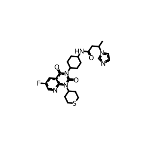 CC(CC(=O)NC1CCC(n2c(=O)c3cc(F)cnc3n(C3CCSCC3)c2=O)CC1)n1ccnc1